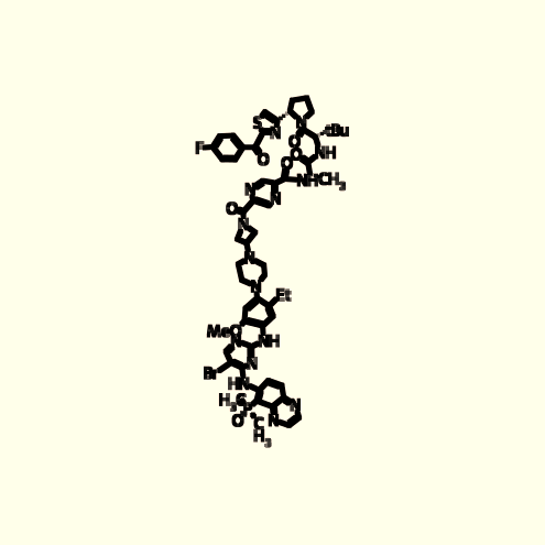 CCc1cc(Nc2ncc(Br)c(Nc3ccc4nccnc4c3P(C)(C)=O)n2)c(OC)cc1N1CCN(C2CN(C(=O)c3cnc(C(=O)N[C@@H](C)C(=O)N[C@H](C(=O)N4CCC[C@H]4c4csc(C(=O)c5ccc(F)cc5)n4)C(C)(C)C)cn3)C2)CC1